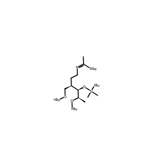 CCCCOC[C@@H](CC/N=C(/C)SC)[C@@H](O[Si](C)(C)C(C)(C)C)[C@@H](C)OCCCC